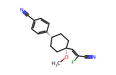 CO[C@]1(C=C(F)C#N)CC[C@H](c2ccc(C#N)cc2)CC1